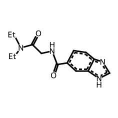 CCN(CC)C(=O)CNC(=O)c1ccc2nc[nH]c2c1